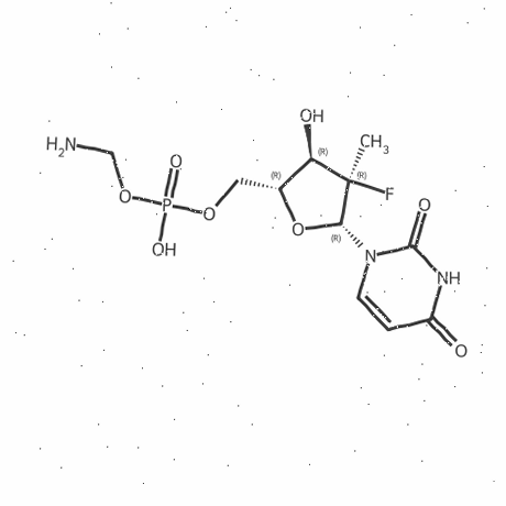 C[C@@]1(F)[C@H](O)[C@@H](COP(=O)(O)OCN)O[C@H]1n1ccc(=O)[nH]c1=O